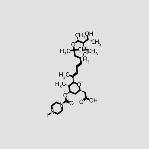 CO[C@@H]([C@@H](C)O)[C@@H](C)OC(C)(C)C[C@H](C)/C=C/C=C(\C)[C@H]1O[C@@H](CC(=O)O)C[C@@H](OC(=O)N2CCN(I)CC2)[C@@H]1C